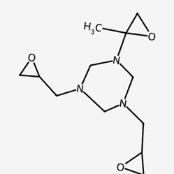 CC1(N2CN(CC3CO3)CN(CC3CO3)C2)CO1